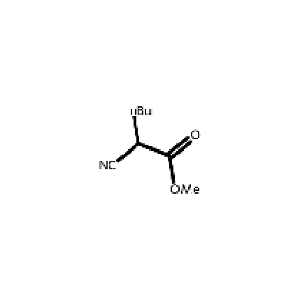 CCCCC(C#N)C(=O)OC